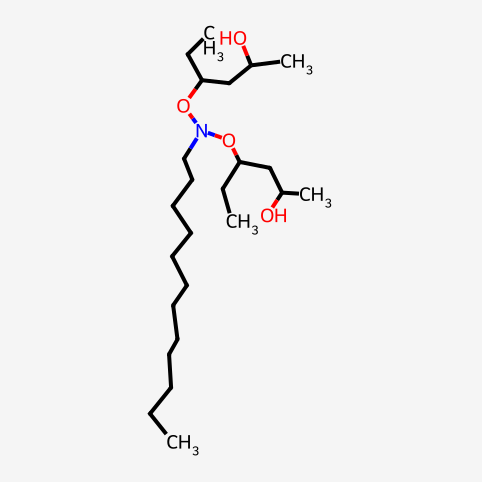 CCCCCCCCCCCCN(OC(CC)CC(C)O)OC(CC)CC(C)O